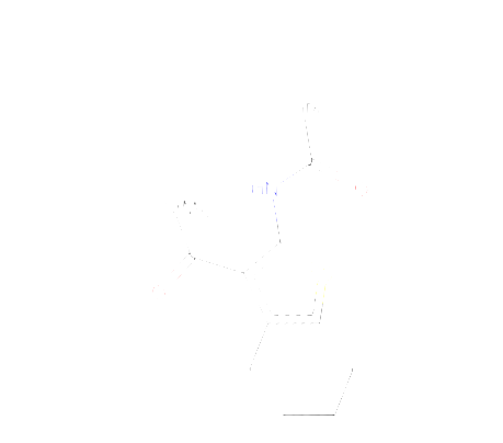 COC(=O)c1c(NC(=O)C(C)C)sc2c1CCCC2